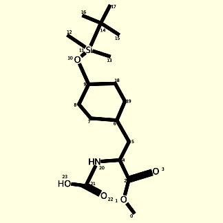 COC(=O)C(CC1CCC(O[Si](C)(C)C(C)(C)C)CC1)NC(=O)O